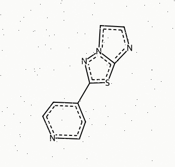 c1cc(-c2nn3ccnc3s2)ccn1